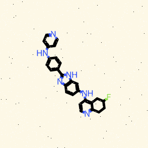 FC1CCc2nccc(Nc3ccc4nc(-c5ccc(Nc6ccncc6)cc5)[nH]c4c3)c2C1